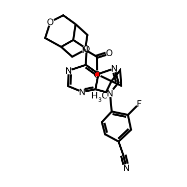 CC1(OC(=O)N2CC3COCC(C2)C3Oc2ncnc3c2ncn3-c2ccc(C#N)cc2F)CC1